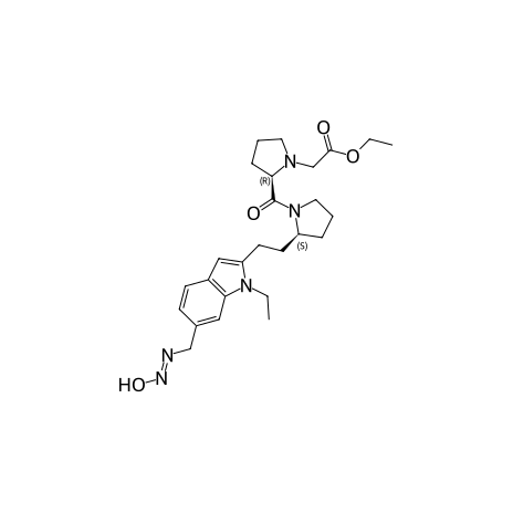 CCOC(=O)CN1CCC[C@@H]1C(=O)N1CCC[C@H]1CCc1cc2ccc(CN=NO)cc2n1CC